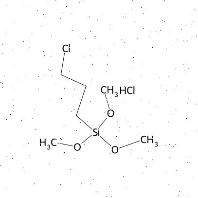 CO[Si](CCCCl)(OC)OC.Cl